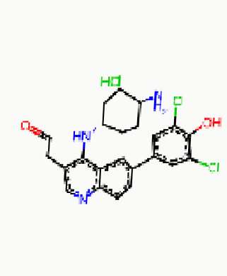 Cl.N[C@H]1CC[C@H](Nc2c(CC=O)cnc3ccc(-c4cc(Cl)c(O)c(Cl)c4)cc23)CC1